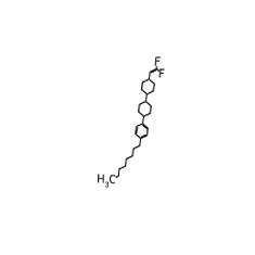 CCCCCCCCc1ccc(C2CCC(C3CCC(C=C(F)F)CC3)CC2)cc1